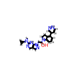 CN(c1ncc2cnn(CC(O)N3CCc4c(-c5ccnnc5)cccc43)c2n1)C1CC1